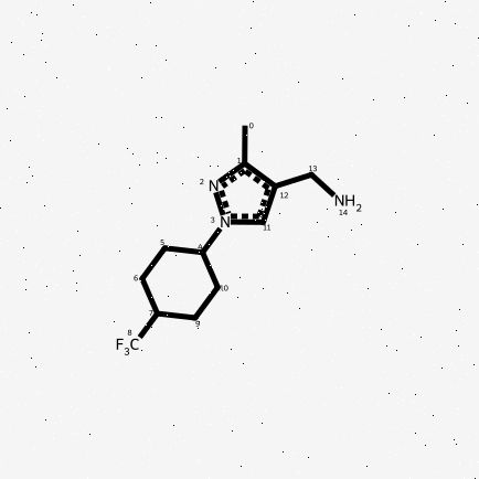 Cc1nn(C2CCC(C(F)(F)F)CC2)cc1CN